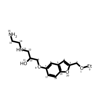 CCOCc1cc2cc(OCC(O)CNCCN)ccc2o1